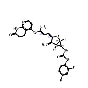 C=C1/C(=C\C=C(/C)Oc2ccnc3c2CCC(=O)N3)O[C@@H]2[C@@H](NC(=O)Nc3ccc(F)cc3F)[C@H]12